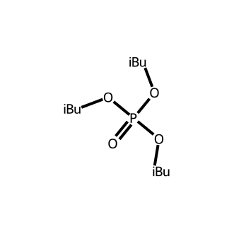 CCC(C)OP(=O)(OC(C)CC)OC(C)CC